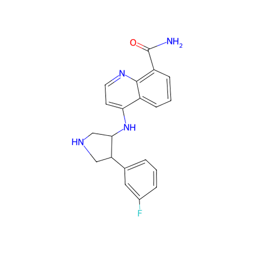 NC(=O)c1cccc2c(NC3CNCC3c3cccc(F)c3)ccnc12